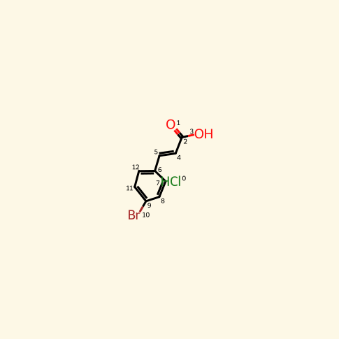 Cl.O=C(O)C=Cc1ccc(Br)cc1